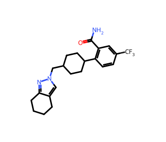 NC(=O)c1cc(C(F)(F)F)ccc1C1CCC(Cn2cc3c(n2)CCCC3)CC1